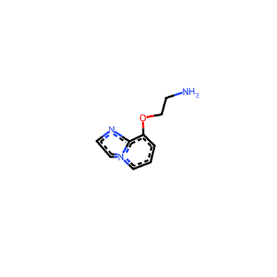 NCCOc1cccn2ccnc12